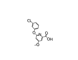 COc1cc(Oc2cccc(Cl)c2)nc(C(=O)O)c1